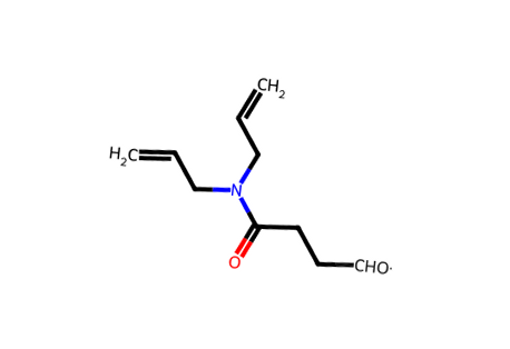 C=CCN(CC=C)C(=O)CC[C]=O